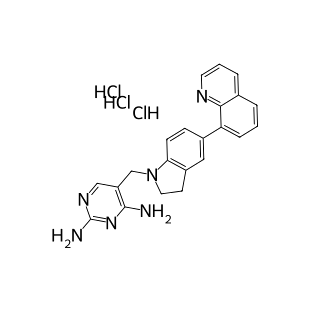 Cl.Cl.Cl.Nc1ncc(CN2CCc3cc(-c4cccc5cccnc45)ccc32)c(N)n1